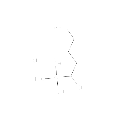 CCCCCCCCC(C)[N+](C)(O)O.[Cl-]